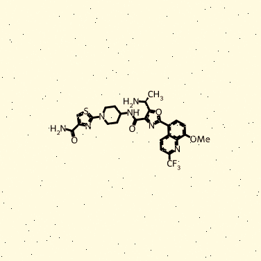 COc1ccc(-c2nc(C(=O)NC3CCN(c4nc(C(N)=O)cs4)CC3)c([C@H](C)N)o2)c2ccc(C(F)(F)F)nc12